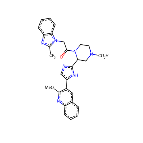 COc1nc2ccccc2cc1-c1cnc(C2CN(C(=O)O)CCN2C(=O)Cn2c(C(F)(F)F)nc3ccccc32)[nH]1